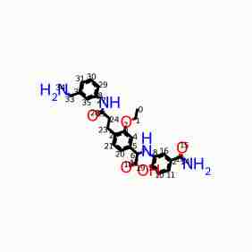 CCOc1cc(C(Nc2cccc(C(N)=O)c2)C(=O)O)ccc1CCC(=O)Nc1cccc(CN)c1